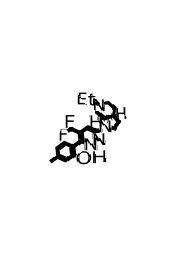 CCN1CC[C@H]2CCN(c3cc(C(F)F)c(-c4ccc(C)cc4O)nn3)[C@H]2C1